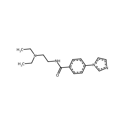 CCN(CC)CCNC(=O)c1ccc(-n2ccnc2)cc1